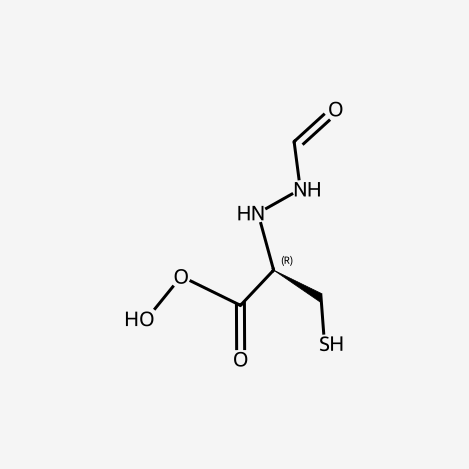 O=CNN[C@@H](CS)C(=O)OO